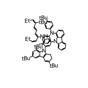 CC\C=C/C(=C/C=C/C(=C\CC)C(C)(C)C)Nc1cc(-n2c3ccccc3c3cccc(N(C4=CCC(C(C)(C)C)C=C4)c4ccc(C(C)(C)C)cc4)c32)cc(-n2c3c(c4cc(C(C)(C)C)cc(C)c42)C=C(C(C)(C)C)CC3)c1C